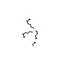 CCCCCCCCCCCC(=O)NC(=O)CC[C@@H](C(=O)O)N(CCCCC(CC)C(N)=O)CCCCC(CC)C(N)=O